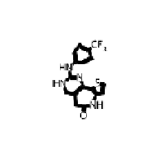 O=C1CC2=C(N=C(Nc3ccc(C(F)(F)F)cc3)NC2)c2sccc2N1